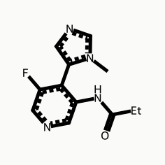 CCC(=O)Nc1cncc(F)c1-c1cncn1C